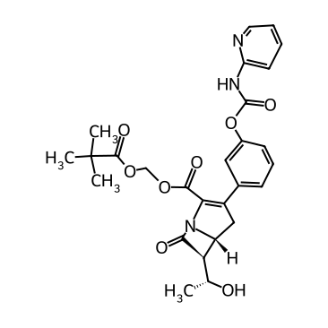 C[C@@H](O)[C@H]1C(=O)N2C(C(=O)OCOC(=O)C(C)(C)C)=C(c3cccc(OC(=O)Nc4ccccn4)c3)C[C@H]12